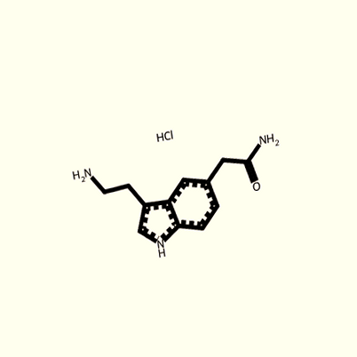 Cl.NCCc1c[nH]c2ccc(CC(N)=O)cc12